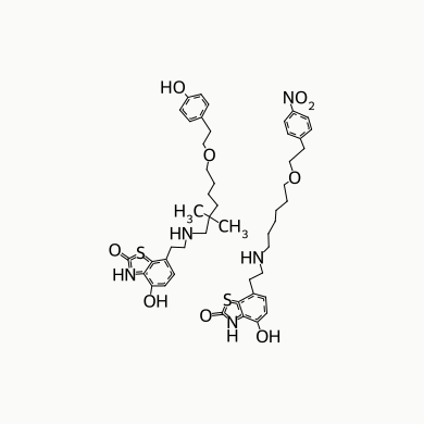 CC(C)(CCCCOCCc1ccc(O)cc1)CNCCc1ccc(O)c2[nH]c(=O)sc12.O=c1[nH]c2c(O)ccc(CCNCCCCCCOCCc3ccc([N+](=O)[O-])cc3)c2s1